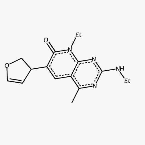 CCNc1nc(C)c2cc(C3C=COC3)c(=O)n(CC)c2n1